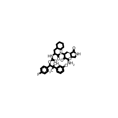 CC(C)(c1cccc(Cl)c1)C(OC(=O)NC(CC1CCCCC1)C(=O)NC(C[C@@H]1CCNC1=O)C(=O)C(N)=O)c1ccc(F)cc1